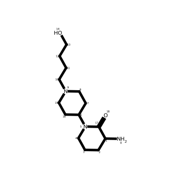 NC1CCCN(C2CCN(CCCCO)CC2)C1=O